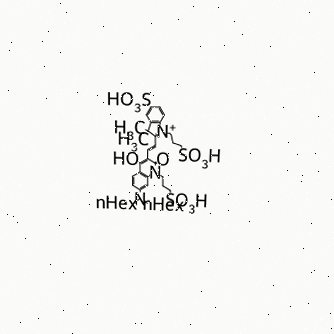 CCCCCCN(CCCCCC)c1ccc2c(O)c(/C=C/C3=[N+](CCCS(=O)(=O)O)c4ccc(S(=O)(=O)O)cc4C3(C)C)c(=O)n(CCCS(=O)(=O)O)c2c1